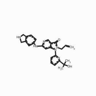 C=CCn1c(=O)c2cnc(Nc3ccc4c(c3)CNC4)cc2n1-c1cccc(C(C)(C)O)n1